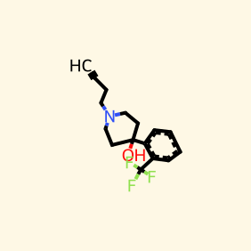 C#CCCN1CCC(O)(c2ccccc2C(F)(F)F)CC1